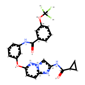 O=C(Nc1cccc(Oc2ccc3nc(NC(=O)C4CC4)cn3n2)c1)c1cccc(OC(F)(F)F)c1